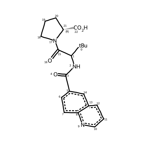 CC(C)(C)C(NC(=O)c1ccc2ncccc2c1)C(=O)N1CCC[C@@H]1C(=O)O